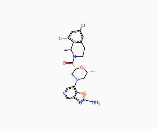 C[C@@H]1CN(c2cncc3nc(N)oc23)C[C@H](C(=O)N2CCc3cc(Cl)cc(Cl)c3[C@@H]2C)O1